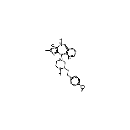 COc1ccc(CCC2CN(C3=c4ncccc4=CNc4sc(C)nc43)CCN2)cc1